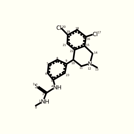 CNC(=S)Nc1cccc(C2CN(C)Cc3c(Cl)cc(Cl)cc32)c1